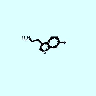 NCCc1csc2cc(F)ccc12